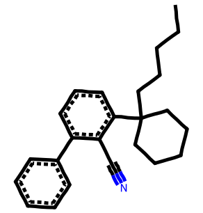 CCCCCC1(c2cccc(-c3ccccc3)c2C#N)CCCCC1